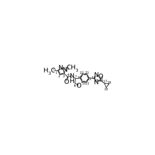 Cc1cc(C(=O)NC2COc3cc(-c4noc(C5CC5)n4)ccc32)n(C)n1